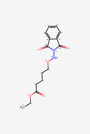 CCOC(=O)CCCCONN1C(=O)c2ccccc2C1=O